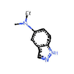 CCN(C)c1ccc2[nH]ncc2c1